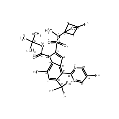 CN(C12CC(F)(C1)C2)S(=O)(=O)c1cc2c(-c3ncc(F)cn3)c(C(F)(F)F)cc(F)c2n1C(=O)OC(C)(C)C